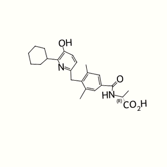 Cc1cc(C(=O)N[C@H](C)C(=O)O)cc(C)c1Cc1ccc(O)c(C2CCCCC2)n1